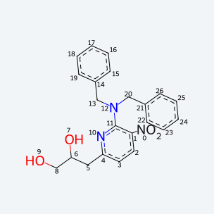 O=[N+]([O-])c1ccc(CC(O)CO)nc1N(Cc1ccccc1)Cc1ccccc1